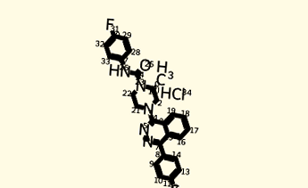 C[C@@H]1CN(c2nnc(-c3ccc(F)cc3)c3ccccc23)CCN1C(=O)Nc1ccc(F)cc1.Cl